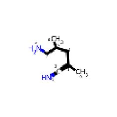 CC(=C=N)CC(C)CN